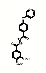 COc1ccc(C(=O)NNC(=O)c2ccc(Oc3cccnc3)cc2)cc1OC